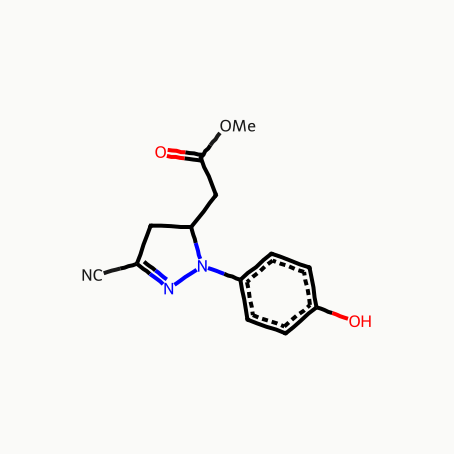 COC(=O)CC1CC(C#N)=NN1c1ccc(O)cc1